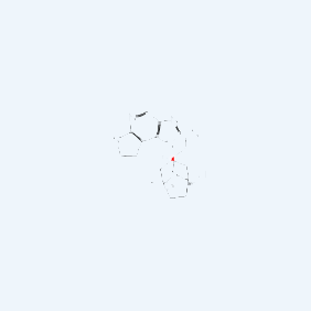 N#CCCN1[C@@H]2CC[C@H]1C[C@H](n1cnc3cnc4c(c31)CCN4)C2